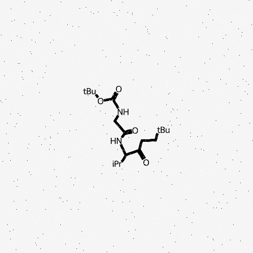 CC(C)C(NC(=O)CNC(=O)OC(C)(C)C)C(=O)CCC(C)(C)C